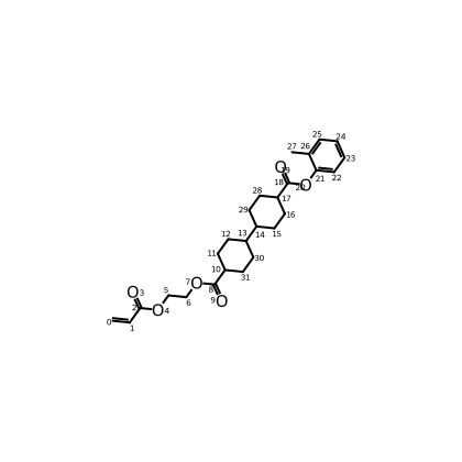 C=CC(=O)OCCOC(=O)C1CCC(C2CCC(C(=O)Oc3ccccc3C)CC2)CC1